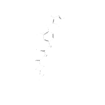 COC1CC(C(=O)NC(=O)Nc2ccc(Oc3nccs3)c(C)c2)C1